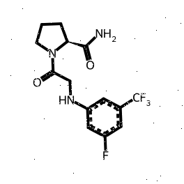 NC(=O)[C@@H]1CCCN1C(=O)CNc1cc(F)cc(C(F)(F)F)c1